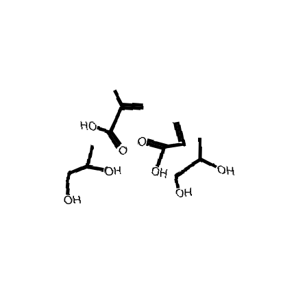 C=C(C)C(=O)O.C=CC(=O)O.CC(O)CO.CC(O)CO